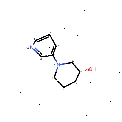 O[C@@H]1CCCN(c2cccnc2)C1